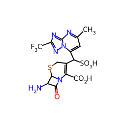 Cc1cc(C(C2=C(C(=O)O)N3C(=O)C(N)C3SC2)S(=O)(=O)O)n2nc(C(F)(F)F)nc2n1